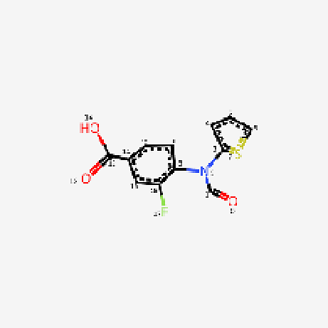 O=CN(c1cccs1)c1ccc(C(=O)O)cc1F